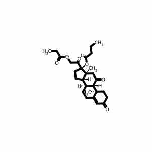 CCCC(=O)O[C@]1(C(=O)COC(=O)CC)CC[C@H]2[C@@H]3CCC4=CC(=O)CC[C@]4(C)[C@H]3C(=O)C[C@@]21C